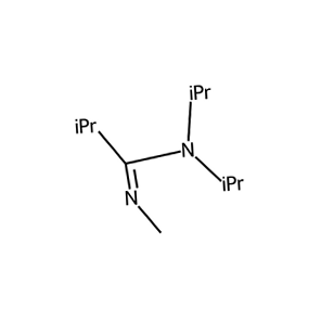 CN=C(C(C)C)N(C(C)C)C(C)C